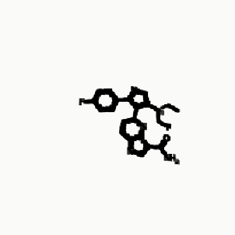 CC[C@H](CF)n1cnc(-c2ccc(F)cc2)c1-c1ccc2ncc(C(N)=O)n2n1